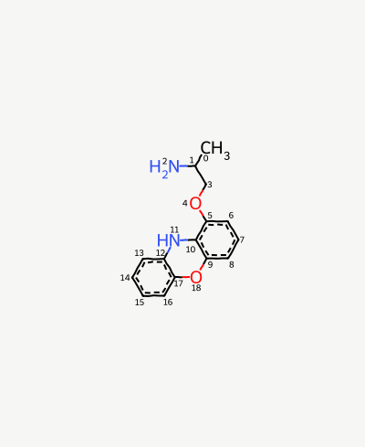 CC(N)COc1cccc2c1Nc1ccccc1O2